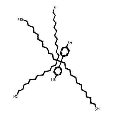 SCCCCCCCCCCCCCC(c1ccc(S)cc1)(c1ccc(S)cc1)C(CCCCCCCCCCCCS)(CCCCCCCCCCCCS)CCCCCCCCCCCCS